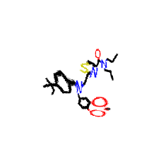 CCCN(CCC)C(=O)c1csc(CN(Cc2ccc(C(C)(C)C)cc2)Cc2ccc3c(c2)OCO3)n1